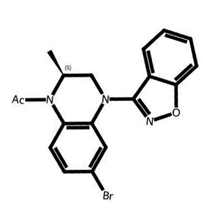 CC(=O)N1c2ccc(Br)cc2N(c2noc3ccccc23)C[C@@H]1C